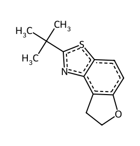 CC(C)(C)c1nc2c3c(ccc2s1)OCC3